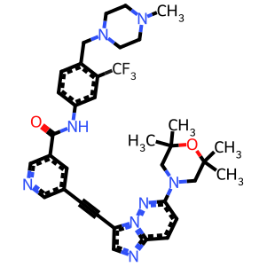 CN1CCN(Cc2ccc(NC(=O)c3cncc(C#Cc4cnc5ccc(N6CC(C)(C)OC(C)(C)C6)nn45)c3)cc2C(F)(F)F)CC1